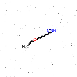 CC#CCCOCCCCCCCc1c[nH]cn1